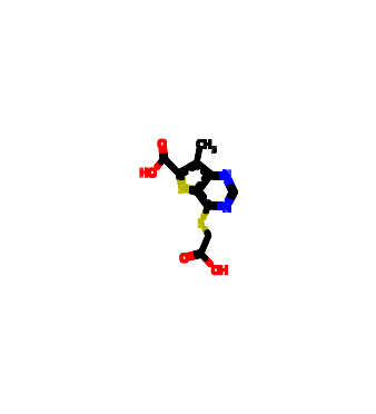 Cc1c(C(=O)O)sc2c(SCC(=O)O)ncnc12